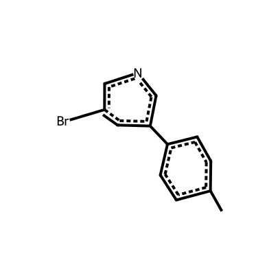 Cc1ccc(-c2cncc(Br)c2)cc1